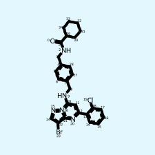 O=C(NCc1ccc(CNc2cc(-c3ccccc3Cl)nc3c(Br)cnn23)cc1)C1CCCCC1